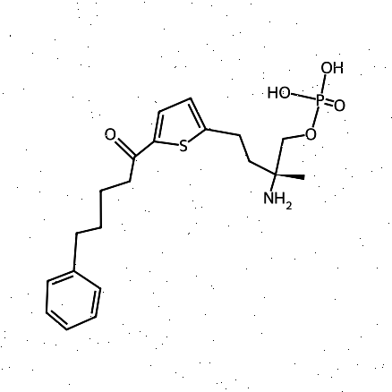 C[C@@](N)(CCc1ccc(C(=O)CCCCc2ccccc2)s1)COP(=O)(O)O